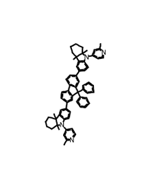 Cc1cc(N2c3ccc(-c4ccc5c(c4)C(c4ccccc4)(c4ccccc4)c4cc(-c6ccc7c(c6)C6(C)CCCCC6(C)N7c6ccnc(C)c6)ccc4-5)cc3C3(C)CCCCC23C)ccn1